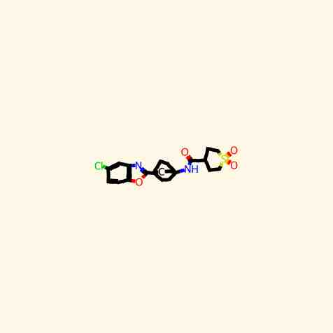 O=C(NC12CCC(c3nc4cc(Cl)ccc4o3)(CC1)CC2)C1CCS(=O)(=O)CC1